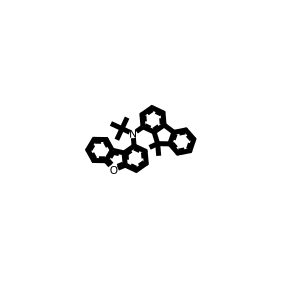 CC1(C)c2ccccc2-c2cccc(N(c3cccc4oc5ccccc5c34)C(C)(C)C)c21